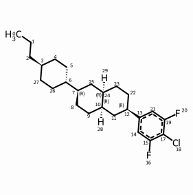 CCC[C@H]1CC[C@H]([C@@H]2CC[C@@H]3C[C@H](c4cc(F)c(Cl)c(F)c4)CC[C@@H]3C2)CC1